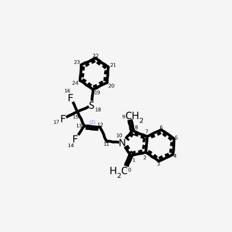 C=c1c2ccccc2c(=C)n1C/C=C(\F)C(F)(F)Sc1ccccc1